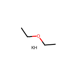 CCOCC.[KH]